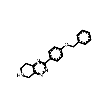 c1ccc(COc2ccc(-c3nnc4c(n3)CCNC4)cc2)cc1